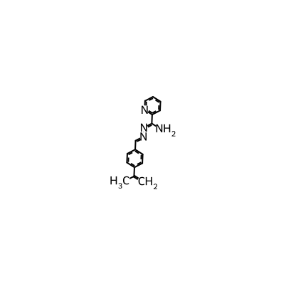 C=C(C)c1ccc(/C=N/N=C(\N)c2ccccn2)cc1